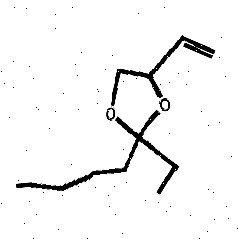 C=CC1COC(CC)(CCCC)O1